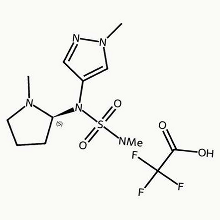 CNS(=O)(=O)N(c1cnn(C)c1)[C@H]1CCCN1C.O=C(O)C(F)(F)F